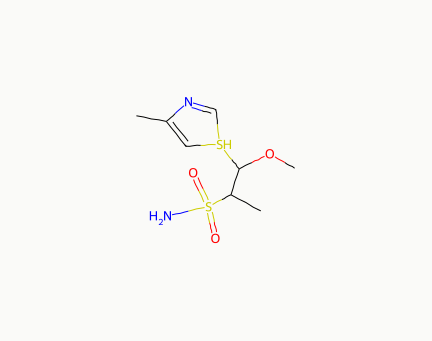 COC(C(C)S(N)(=O)=O)[SH]1C=NC(C)=C1